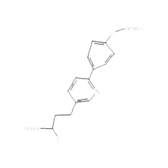 CCCCCCCOc1ccc(-c2ccc(CCC(F)CCCCCC)cn2)cc1